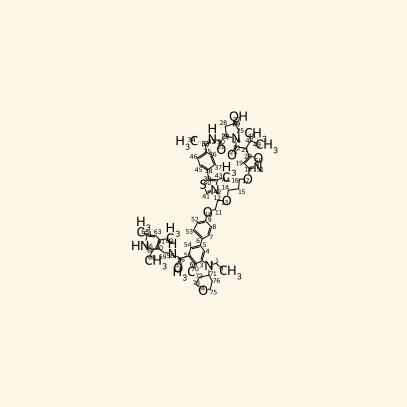 CCN(c1cc(-c2ccc(OCCOCCCOc3cc(C(C(=O)N4C[C@H](O)C[C@H]4C(=O)N[C@@H](C)c4ccc(-c5scnc5C)cc4)C(C)C)on3)cc2)cc(C(=O)NCC2=C(C)C=C(C)NC2C)c1C)C1CCOCC1